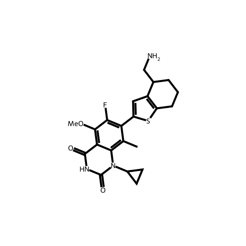 COc1c(F)c(-c2cc3c(s2)CCCC3CN)c(C)c2c1c(=O)[nH]c(=O)n2C1CC1